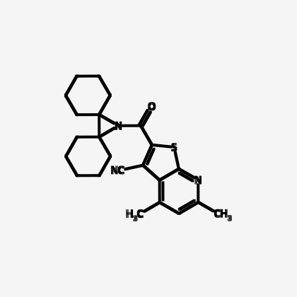 Cc1cc(C)c2c(C#N)c(C(=O)N3C4(CCCCC4)C34CCCCC4)sc2n1